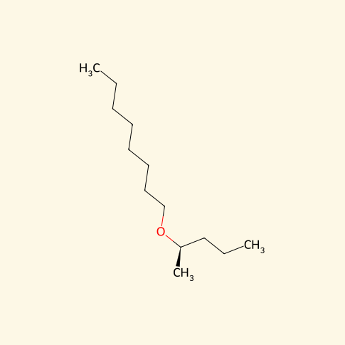 CCCCCCCCO[C@H](C)CCC